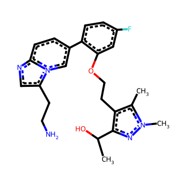 Cc1c(CCOc2cc(F)ccc2-c2ccc3ncc(CCN)n3c2)c(C(C)O)nn1C